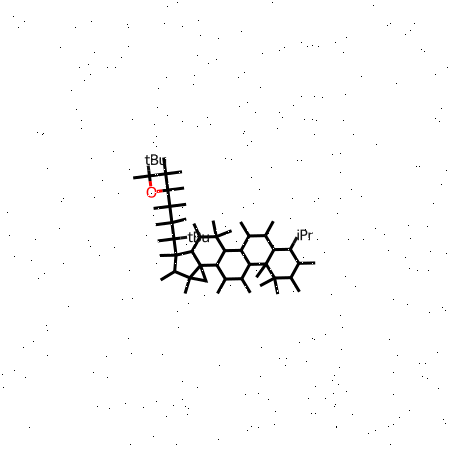 CC(C)C1C(C)C(C)C(C)(C)C2(C)C1C(C)C(C)C1C3C(C(C)C(C)C12)C12CC1(C)C(C)C(C)(C(C)(C(C)(C)C)C(C)(C)C(C)(C)C1(C)OC(C)(C(C)(C)C)C1(C)C)C2C(C)C3(C)C